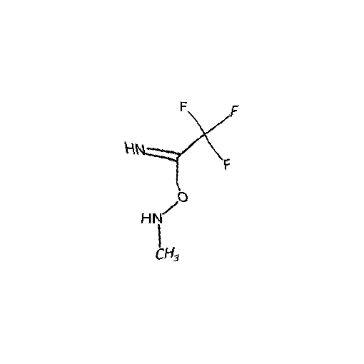 CNOC(=N)C(F)(F)F